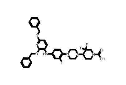 O=C(O)N1CCC(N2CCN(c3ccc(Nc4ccc(OCc5ccccc5)nc4OCc4ccccc4)cc3F)CC2)C(F)(F)C1